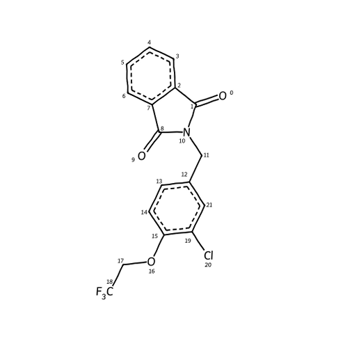 O=C1c2ccccc2C(=O)N1Cc1ccc(OCC(F)(F)F)c(Cl)c1